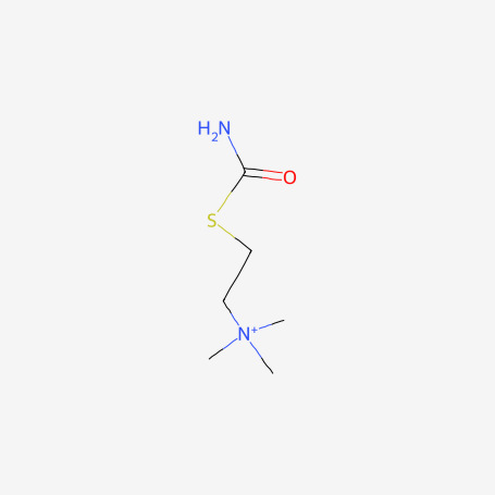 C[N+](C)(C)CCSC(N)=O